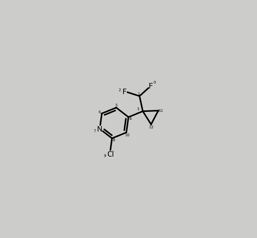 FC(F)C1(c2ccnc(Cl)c2)CC1